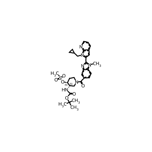 Cn1c(-c2cc3cccnc3n2CC2CC2)nc2cc(C(=O)N3CC[C@H](OS(C)(=O)=O)[C@@H](NC(=O)OC(C)(C)C)C3)ccc21